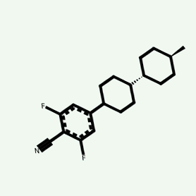 C[C@H]1CC[C@H](C2CCC(c3cc(F)c(C#N)c(F)c3)CC2)CC1